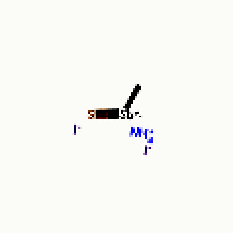 [CH3][Sb+]=[S].[I-].[I-].[NH4+]